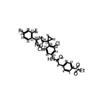 CCS(=O)(=O)c1ccc(CC(=O)Nc2cc(Cl)c(C3(c4nc(-c5ccc(F)cc5F)no4)CC3)c(Cl)c2)cc1